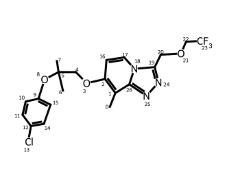 Cc1c(OCC(C)(C)Oc2ccc(Cl)cc2)ccn2c(COCC(F)(F)F)nnc12